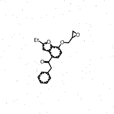 CCc1cc2c(C(=O)Cc3ccccc3)ccc(OCC3CO3)c2o1